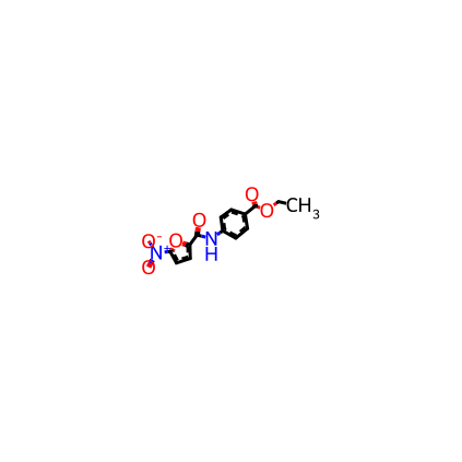 CCOC(=O)c1ccc(NC(=O)c2ccc([N+](=O)[O-])o2)cc1